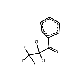 O=C(c1ccccc1)C(Cl)(Cl)C(F)(F)F